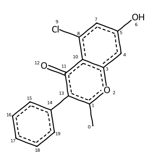 Cc1oc2cc(O)cc(Cl)c2c(=O)c1-c1ccccc1